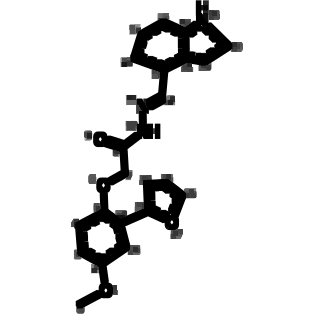 COc1ccc(OCC(=O)NN=Cc2cccc3[nH]ccc23)c(-c2ccco2)c1